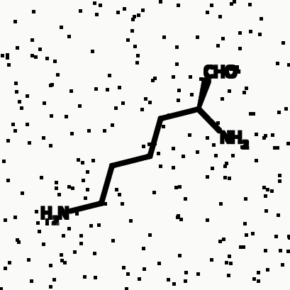 NCCCC[C@H](N)[C]=O